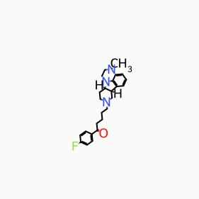 CN1CCN2c3c(cccc31)[C@@H]1CN(CCCCC(=O)c3ccc(F)cc3)CC[C@@H]12